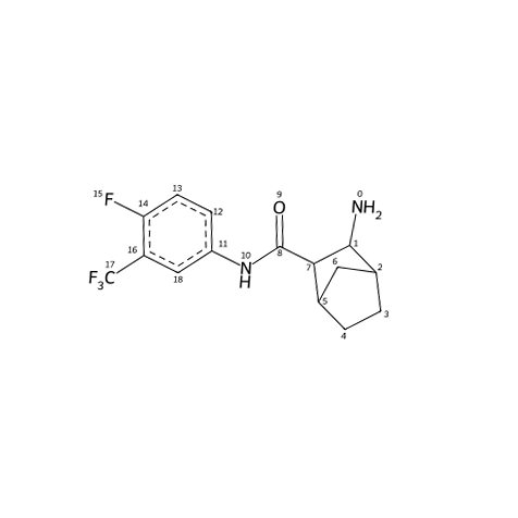 NC1C2CCC(C2)C1C(=O)Nc1ccc(F)c(C(F)(F)F)c1